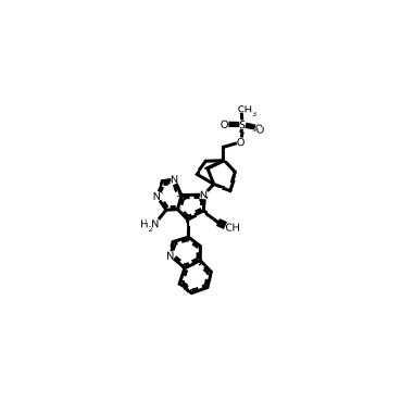 C#Cc1c(-c2cnc3ccccc3c2)c2c(N)ncnc2n1C12CCC(COS(C)(=O)=O)(CC1)C2